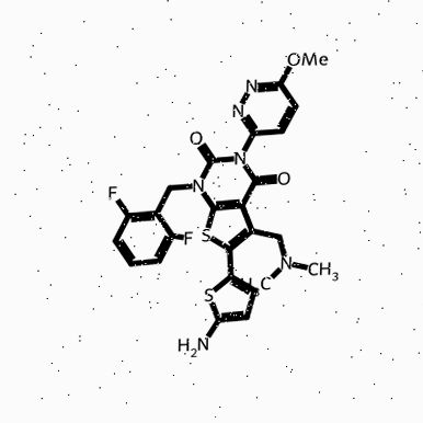 COc1ccc(-n2c(=O)c3c(CN(C)C)c(-c4ccc(N)s4)sc3n(Cc3c(F)cccc3F)c2=O)nn1